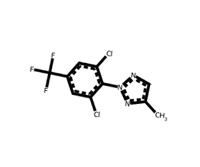 Cc1[c]nn(-c2c(Cl)cc(C(F)(F)F)cc2Cl)n1